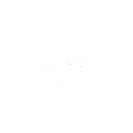 C=CCCN(CCC=C)S(=O)(=O)c1ccccc1[N+](=O)[O-]